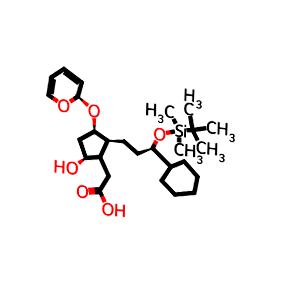 CC(C)(C)[Si](C)(C)O[C@H](CC[C@H]1C(CC(=O)O)[C@@H](O)C[C@H]1O[C@@H]1C=CC=CO1)C1CCCCC1